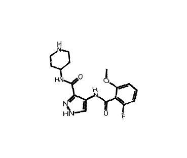 COc1cccc(F)c1C(=O)Nc1c[nH]nc1C(=O)NC1CCNCC1